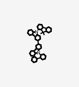 CC1(C)c2ccccc2-c2cccc(-n3c4ccccc4c4cc(-c5ccc6c(c5)c5ccccc5n6-c5ccccc5-c5ccccc5)ccc43)c21